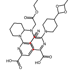 CCOC(=O)CN(c1ccc(C(=O)O)nc1N1CCC(C2OC(C)O2)CC1)C1CCCCN1c1nc(C(=O)O)ccc1C#N